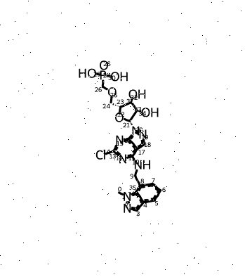 Cn1ncc2cccc(CNc3nc(Cl)nc4c3cnn4[C@@H]3O[C@H](COCP(=O)(O)O)[C@@H](O)[C@H]3O)c21